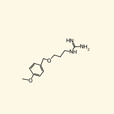 COc1ccc(COCCCNC(=N)N)cc1